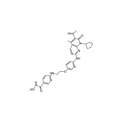 CC(=O)c1c(C)c2cnc(Nc3ccc(OCCNc4ccc(C(=O)NO)cn4)cn3)nc2n(C2CCCC2)c1=O